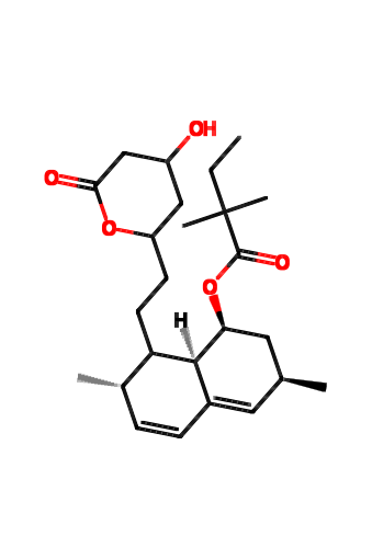 CCC(C)(C)C(=O)O[C@H]1C[C@@H](C)C=C2C=C[C@H](C)C(CCC3CC(O)CC(=O)O3)[C@H]21